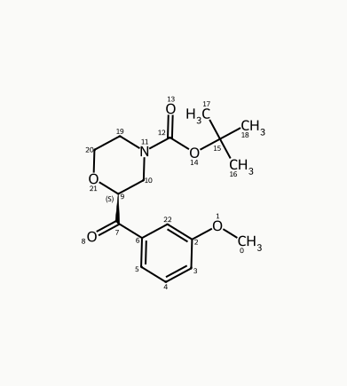 COc1cccc(C(=O)[C@@H]2CN(C(=O)OC(C)(C)C)CCO2)c1